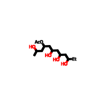 CCC(O)CC(O)CC(O)CC(CC(C)O)OC(C)=O